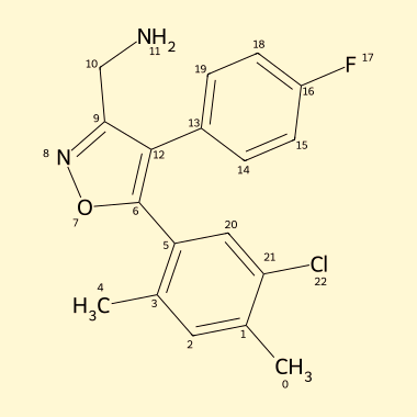 Cc1cc(C)c(-c2onc(CN)c2-c2ccc(F)cc2)cc1Cl